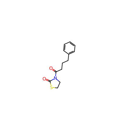 O=C(CCCc1ccccc1)N1CCSC1=O